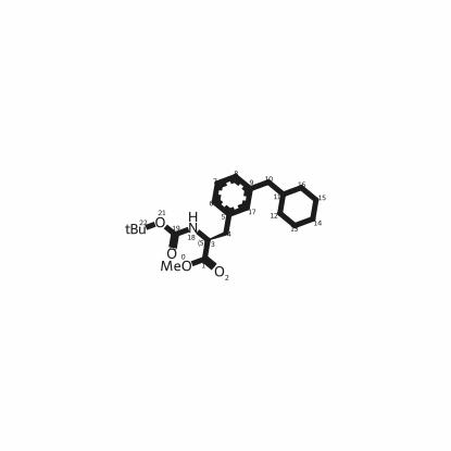 COC(=O)[C@H](Cc1cccc(CC2CCCCC2)c1)NC(=O)OC(C)(C)C